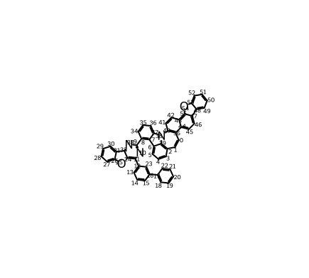 C1=Cc2cccc3c4c(-c5nc(-c6cccc(-c7ccccc7)c6)c6oc7ccccc7c6n5)cccc4n(c23)-c2ccc3c(ccc4c5ccccc5oc34)c21